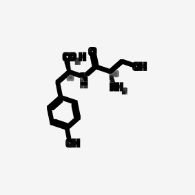 N[C@@H](CO)C(=O)N[C@@H](Cc1ccc(O)cc1)C(=O)O